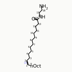 CCCCCCCC/C=C\CCCCCCCCCCCC(=O)NCCN